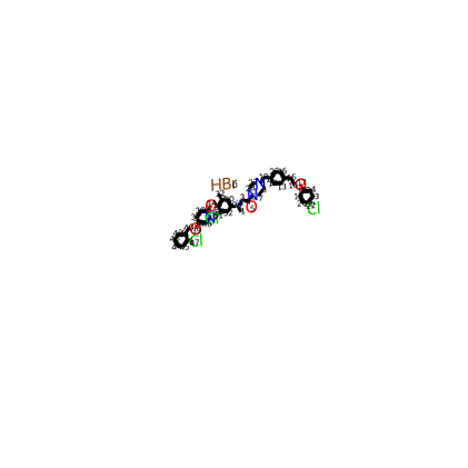 Br.C/C(=C\C(=O)N1CCN(Cc2ccc(CCOc3ccc(Cl)cc3)cc2)CC1)c1cc(C)c(Oc2ccc(OCc3ccccc3Cl)cn2)c(Cl)c1